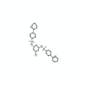 CC(C)(Oc1cc(Cl)cc(OC(C)(C)c2ccc(-c3ccccn3)cc2)c1)c1ccc(-c2ccccn2)cc1